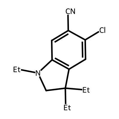 CCN1CC(CC)(CC)c2cc(Cl)c(C#N)cc21